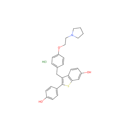 Cl.Oc1ccc(-c2sc3cc(O)ccc3c2Cc2ccc(OCCN3CCCC3)cc2)cc1